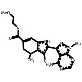 COCCNC(=O)C1=Cc2[nH]c(-c3nn(C(C)(C)C)c4ncnc(N)c34)c(Cl)c2C(C)C1